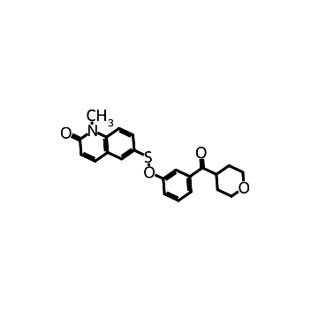 Cn1c(=O)ccc2cc(SOc3cccc(C(=O)C4CCOCC4)c3)ccc21